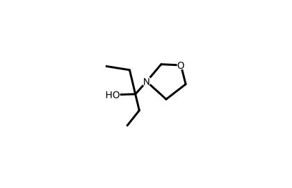 CCC(O)(CC)N1CCOC1